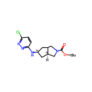 CC(C)(C)OC(=O)N1CC2C[C@H](Nc3ccc(Cl)nn3)C[C@@H]2C1